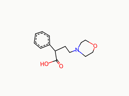 O=C(O)C(CCN1CCOCC1)c1ccccc1